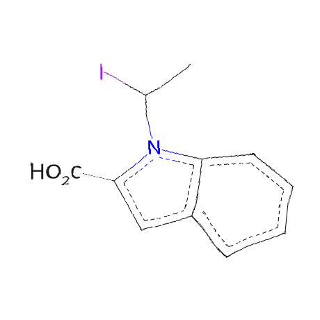 CC(I)n1c(C(=O)O)cc2ccccc21